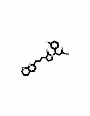 O=C(O)CC(c1cccc(F)c1)N1CCC(CCCc2ccc3c(n2)NCCC3)C1=O